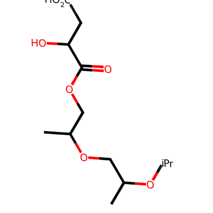 CC(C)OC(C)COC(C)COC(=O)C(O)CC(=O)O